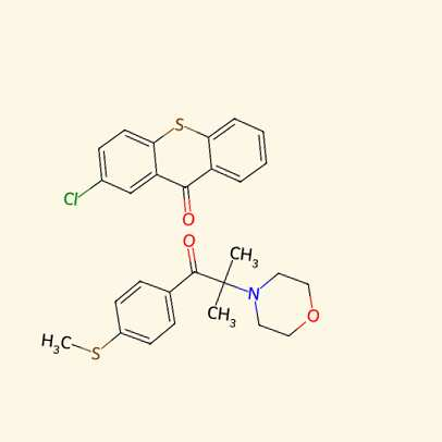 CSc1ccc(C(=O)C(C)(C)N2CCOCC2)cc1.O=c1c2ccccc2sc2ccc(Cl)cc12